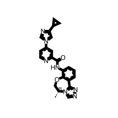 C[C@@H]1COc2c(NC(=O)c3cc(-n4cnc(C5CC5)c4)ccn3)cccc2-c2nncn21